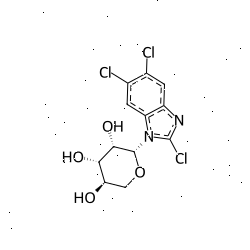 O[C@@H]1[C@H](O)[C@H](n2c(Cl)nc3cc(Cl)c(Cl)cc32)OC[C@H]1O